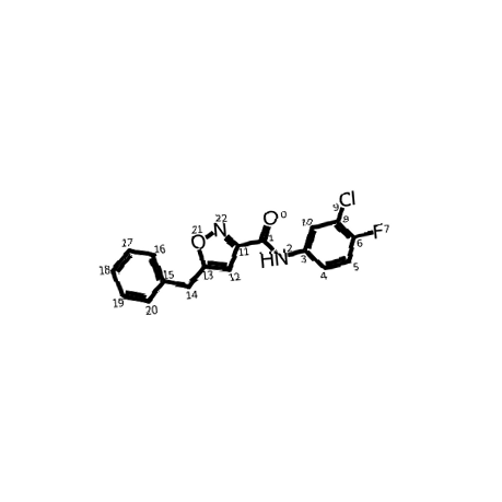 O=C(Nc1ccc(F)c(Cl)c1)c1cc(Cc2ccccc2)on1